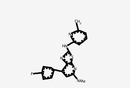 CNc1cc(-c2ccc(F)cc2)c2nc(Nc3cccc(C)n3)sc2n1